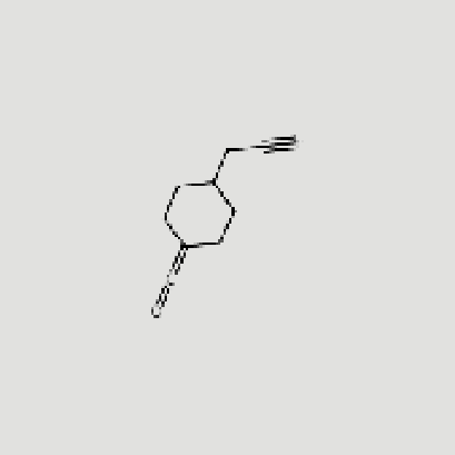 [C]#CCC1CCC(=C=O)CC1